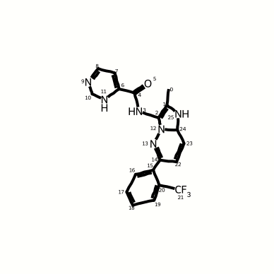 CC1=C(NC(=O)C2=CC=NCN2)N2N=C(c3ccccc3C(F)(F)F)C=CC2N1